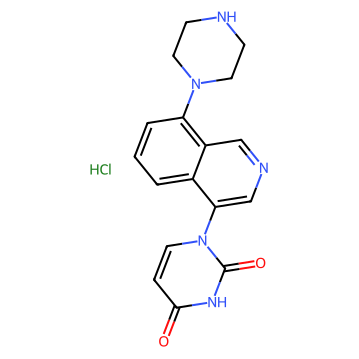 Cl.O=c1ccn(-c2cncc3c(N4CCNCC4)cccc23)c(=O)[nH]1